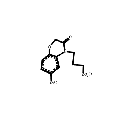 CCOC(=O)CCCN1C(=O)COc2ccc(OC(C)=O)cc21